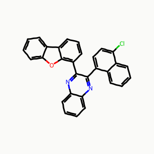 Clc1ccc(-c2nc3ccccc3nc2-c2cccc3c2oc2ccccc23)c2ccccc12